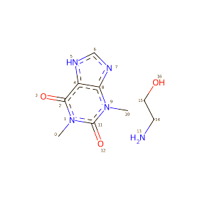 Cn1c(=O)c2[nH]cnc2n(C)c1=O.NCCO